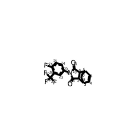 O=C1C2C3C=CC(CC3)C2C(=O)N1c1ccc(F)c(C(F)(F)F)c1